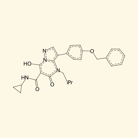 CC(C)Cn1c(=O)c(C(=O)NC2CC2)c(O)n2ncc(-c3ccc(OCc4ccccc4)cc3)c12